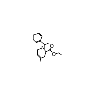 CCOC(=O)C1CC(C)=CCN1C(C)c1ccccc1